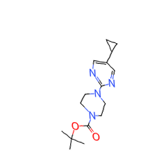 CC(C)(C)OC(=O)N1CCN(c2ncc(C3CC3)cn2)CC1